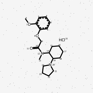 COc1ccccc1OCC(=O)N(C)C1CCCCC1N1CCCC1.Cl